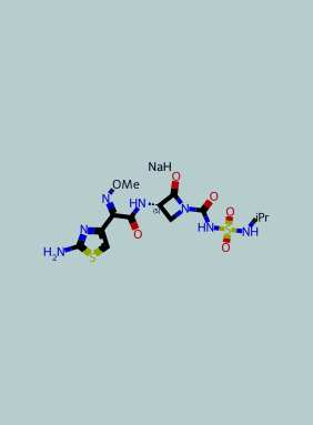 CON=C(C(=O)N[C@H]1CN(C(=O)NS(=O)(=O)NC(C)C)C1=O)c1csc(N)n1.[NaH]